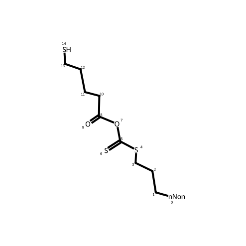 CCCCCCCCCCCCSC(=S)OC(=O)CCCCS